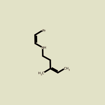 C/C=C(/C)CCN/C=C\C(C)C